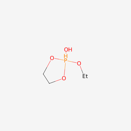 CCO[PH]1(O)OCCO1